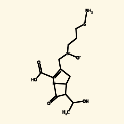 CC(O)C1C(=O)N2C(C(=O)O)=C(C[S+]([O-])CCCSN)CC12